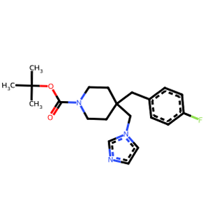 CC(C)(C)OC(=O)N1CCC(Cc2ccc(F)cc2)(Cn2ccnc2)CC1